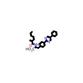 C=C(/C=C\C=C/C)C(=O)NC(Cc1ccc(-c2ncc(-c3ccccc3)cn2)cc1)C(=O)O